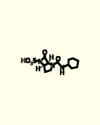 O=C(NC1CCCCC1)N1CC[C@@H]2[C@H]1C(=O)N2S(=O)(=O)O